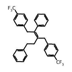 FC(F)(F)c1ccc(CC(CCc2ccccc2)=C(Cc2ccc(C(F)(F)F)cc2)c2ccccc2)cc1